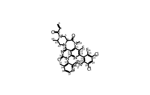 C=CC(=O)N1CC2C(=O)N(C)c3c(F)c(-c4c(N)c(Cl)cc(Cl)c4F)nc4c3c(nc(=O)n4-c3c(C)ccnc3C(C)C)N2CC1C